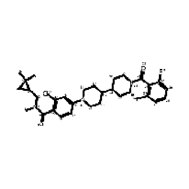 CN(CC1CC1(C)C)C(=O)c1ccc(N2CCC(C3CCN(C(=O)c4c(F)cccc4F)CC3)CC2)cc1Cl